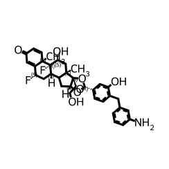 C[C@]12C=CC(=O)C=C1[C@@H](F)C[C@H]1C3C[C@H]4O[C@@H](c5ccc(Cc6cccc(N)c6)c(O)c5)O[C@@]4(C(=O)CO)[C@@]3(C)C[C@H](O)[C@@]12F